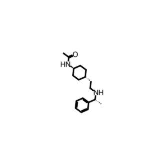 CC(=O)N[C@H]1CC[C@H](CCN[C@H](C)c2ccccc2)CC1